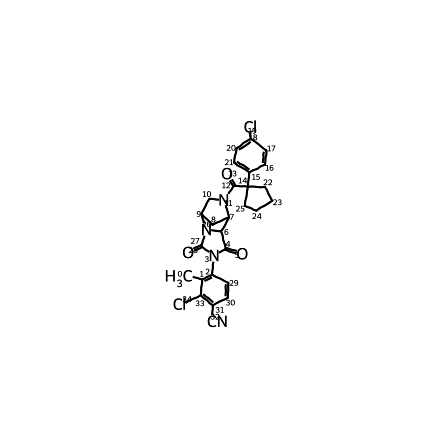 Cc1c(N2C(=O)C3C4CC(CN4C(=O)C4(c5ccc(Cl)cc5)CCCC4)N3C2=O)ccc(C#N)c1Cl